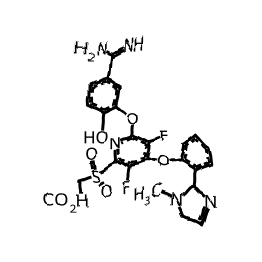 CN1CC=NC1c1ccccc1Oc1c(F)c(Oc2cc(C(=N)N)ccc2O)nc(S(=O)(=O)CC(=O)O)c1F